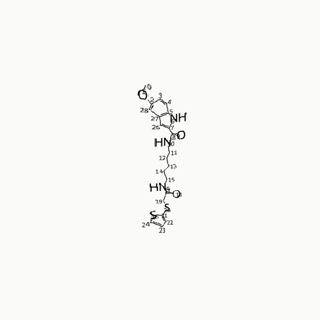 COc1ccc2[nH]c(C(=O)NCCCCCNC(=O)CSc3cccs3)cc2c1